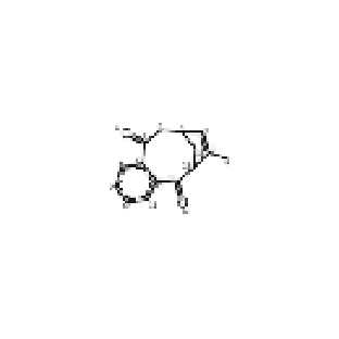 CC1=CC2CC(=O)c3ccccc3C(=O)C1C2